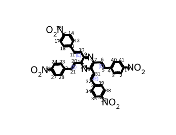 O=[N+]([O-])c1ccc(/C=C/c2nc(/C=C/c3ccc([N+](=O)[O-])cc3)c(/C=C/c3ccc([N+](=O)[O-])cc3)nc2/C=C/c2ccc([N+](=O)[O-])cc2)cc1